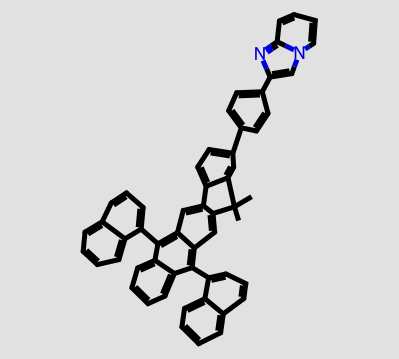 CC1(C)c2cc(-c3ccc(-c4cn5ccccc5n4)cc3)ccc2-c2cc3c(-c4cccc5ccccc45)c4ccccc4c(-c4cccc5ccccc45)c3cc21